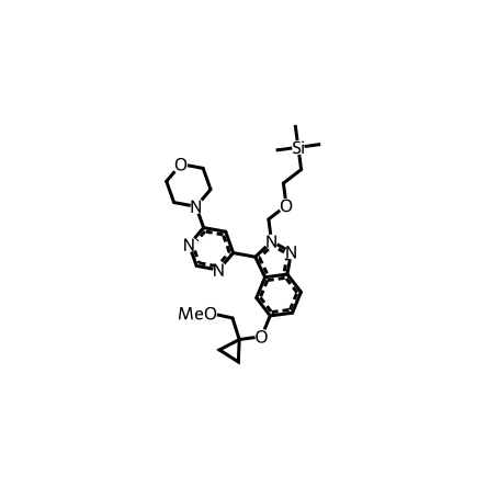 COCC1(Oc2ccc3nn(COCC[Si](C)(C)C)c(-c4cc(N5CCOCC5)ncn4)c3c2)CC1